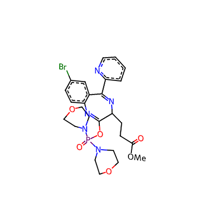 COC(=O)CCC1N=C(c2ccccn2)c2cc(Br)ccc2N=C1OP(=O)(N1CCOCC1)N1CCOCC1